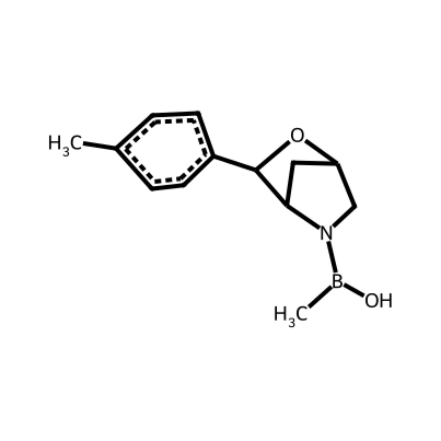 CB(O)N1CC2CC1C(c1ccc(C)cc1)O2